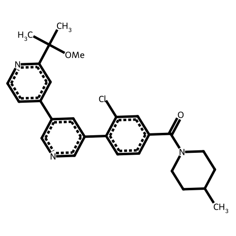 COC(C)(C)c1cc(-c2cncc(-c3ccc(C(=O)N4CCC(C)CC4)cc3Cl)c2)ccn1